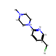 CN1CCN(c2ccc(CF)cn2)CC1